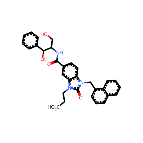 O=C(O)CCn1c(=O)n(Cc2cccc3ccccc23)c2ccc(C(=O)NC(CO)[C@@H](O)c3ccccc3)cc21